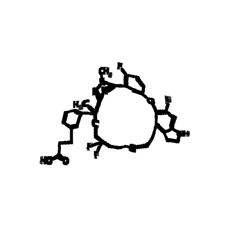 Cn1nc2nc1-c1cc(ccc1F)Oc1c(F)cc3[nH]ccc3c1CCSCCC(F)(F)CCC2(C)c1cccc(CCC(=O)O)c1